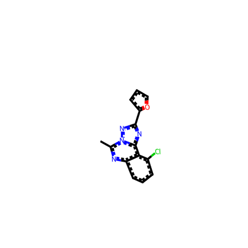 Cc1nc2cccc(Cl)c2c2nc(-c3ccco3)nn12